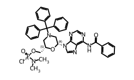 CN(C)[P@](=O)(Cl)OC[C@@H]1CN(C(c2ccccc2)(c2ccccc2)c2ccccc2)C[C@H](n2cnc3c(NC(=O)c4ccccc4)ncnc32)O1